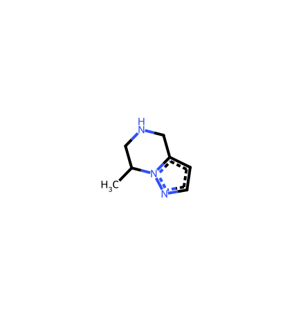 CC1CNCc2ccnn21